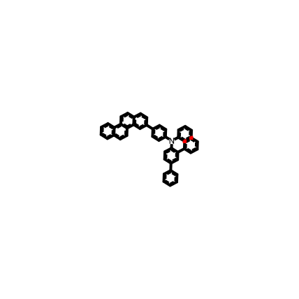 c1ccc(-c2ccc(N(c3ccccc3)c3ccc(-c4ccc5ccc6c7ccccc7ccc6c5c4)cc3)c(-c3ccccc3)c2)cc1